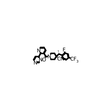 C[C@H](c1ccc(C(F)(F)F)cc1F)C1(C#N)CCN(C(=O)c2cccnc2-c2ccncn2)CC1